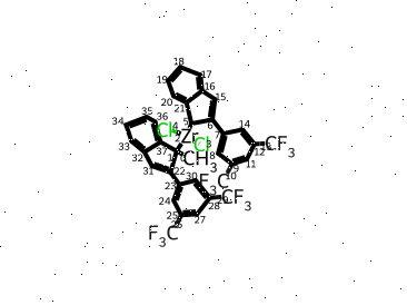 C[C]1([Zr]([Cl])([Cl])[CH]2C(c3cc(C(F)(F)F)cc(C(F)(F)F)c3)=Cc3ccccc32)C(c2cc(C(F)(F)F)cc(C(F)(F)F)c2)=Cc2ccccc21